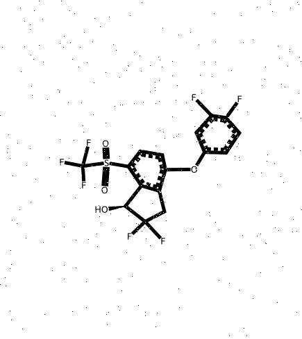 O=S(=O)(c1ccc(Oc2ccc(F)c(F)c2)c2c1[C@H](O)C(F)(F)C2)C(F)(F)F